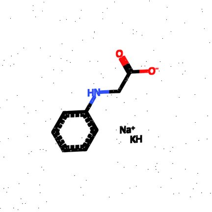 O=C([O-])CNc1ccccc1.[KH].[Na+]